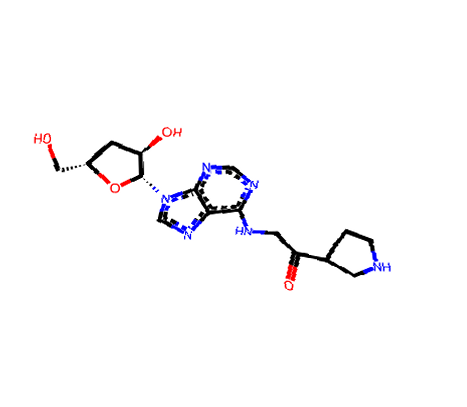 O=C(CNc1ncnc2c1ncn2[C@@H]1O[C@H](CO)C[C@H]1O)C1CCNC1